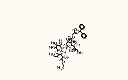 NCCO[C@@H]1OC(CO)[C@@H](O[C@@H]2OC(CO[C@]3(C(=O)O)C[C@@H](O)[C@@H](NC(=O)OCc4cn(C(c5ccccc5)c5ccccc5)nn4)C([C@H](O)[C@H](O)CO)O3)[C@H](O)[C@H](O)C2O)[C@@H](O)C1O